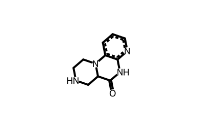 O=C1Nc2ncccc2N2CCNCC12